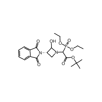 CCOP(=O)(OCC)C(C(=O)OC(C)(C)C)N1C[C@H](N2C(=O)c3ccccc3C2=O)C1O